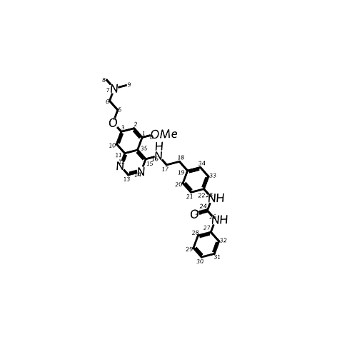 COc1cc(OCCN(C)C)cc2ncnc(NCCc3ccc(NC(=O)Nc4ccccc4)cc3)c12